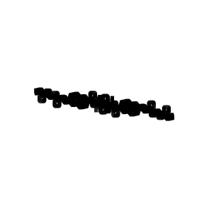 C=CC(=O)OCOC(=O)/C=C/c1ccc2cc(C(=O)O[C@H]3CO[C@H]4[C@@H]3OC[C@H]4OC(=O)c3ccc4cc(/C=C/C(=O)OCOC(=O)C=C)ccc4c3)ccc2c1